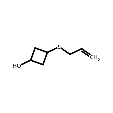 C=CCSC1CC(O)C1